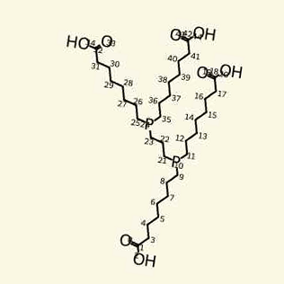 O=C(O)CCCCCCCP(CCCCCCCC(=O)O)CCCP(CCCCCCCC(=O)O)CCCCCCCC(=O)O